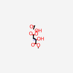 C1CO1.COC(=O)/C(O)=C/C(=O)OO